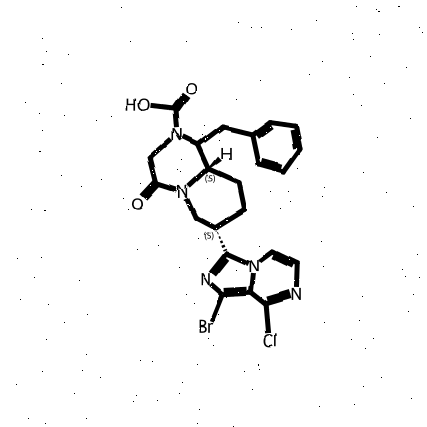 O=C(O)N1CC(=O)N2C[C@@H](c3nc(Br)c4c(Cl)nccn34)CC[C@H]2C1Cc1ccccc1